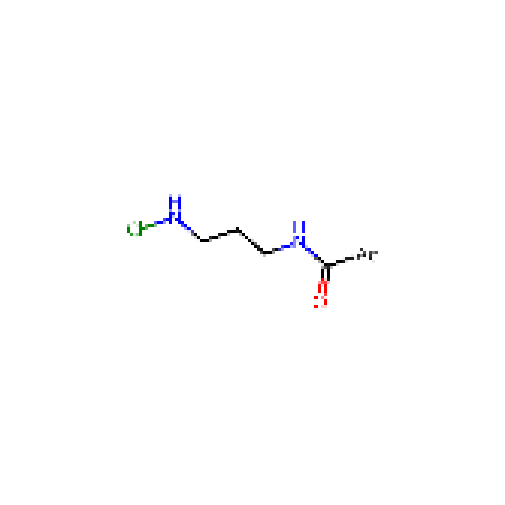 CC(=O)C(=O)NCCCNCl